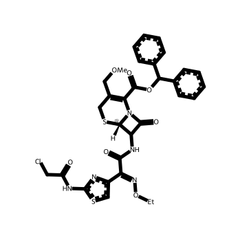 CCON=C(C(=O)NC1C(=O)N2C(C(=O)OC(c3ccccc3)c3ccccc3)=C(COC)CS[C@@H]12)c1csc(NC(=O)CCl)n1